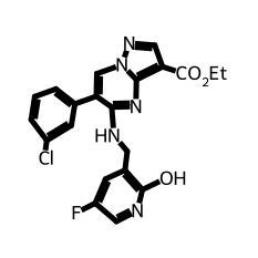 CCOC(=O)c1cnn2cc(-c3cccc(Cl)c3)c(NCc3cc(F)cnc3O)nc12